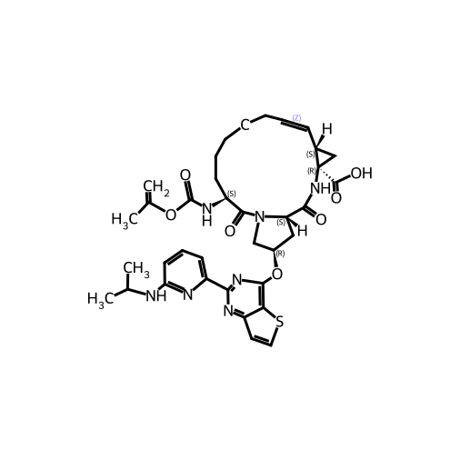 C=C(C)OC(=O)N[C@H]1CCCCC/C=C\[C@@H]2C[C@@]2(C(=O)O)NC(=O)[C@@H]2C[C@@H](Oc3nc(-c4cccc(NC(C)C)n4)nc4ccsc34)CN2C1=O